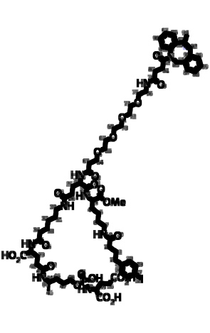 COC(=O)C(CCCCNC(=O)CCCc1ccc(I)cc1)NC(=O)C(CCC(=O)NCCCCCC(=O)NC(CCC(=O)N[C@H](C)CCCOP(=O)(O)NC(CCC(=O)O)C(=O)O)C(=O)O)NC(=O)CCOCCOCCOCCOCCNC(=O)CCC(=O)N1Cc2ccccc2/C=C(/C)c2ccccc21